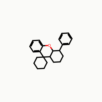 c1ccc(C2CCCC3C2Oc2ccccc2C32CCCCC2)cc1